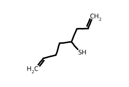 C=CCCC(S)CC=C